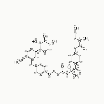 C#CCN(C)C(=O)CN1CCN(C(=O)C(C)(C)NC(=O)CCOc2ccc(Cc3cc([C@@H]4OC[C@@H](O)[C@H](O)[C@H]4O)ccc3C#C)cc2)CC1